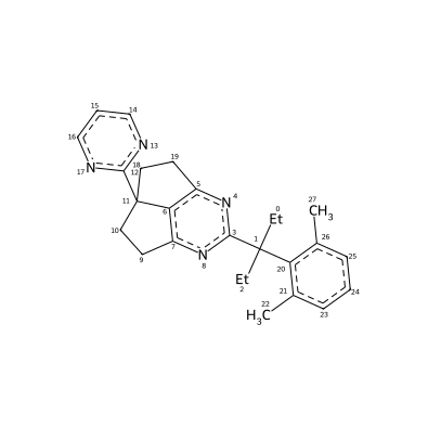 CCC(CC)(c1nc2c3c(n1)CCC3(c1ncccn1)CC2)c1c(C)cccc1C